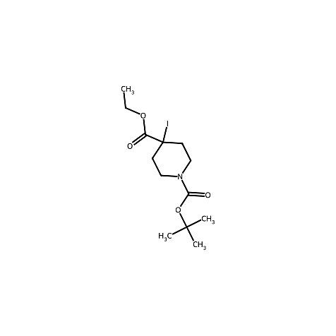 CCOC(=O)C1(I)CCN(C(=O)OC(C)(C)C)CC1